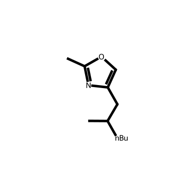 CCCCC(C)Cc1coc(C)n1